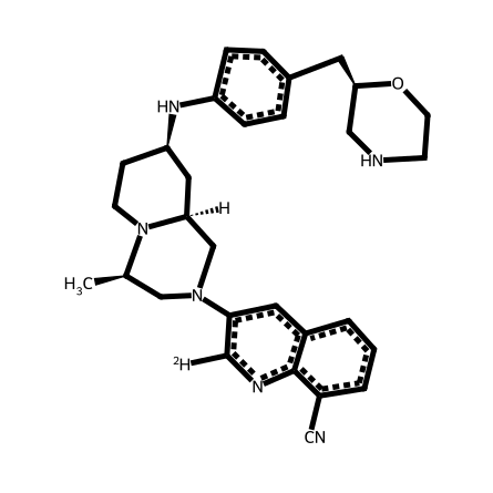 [2H]c1nc2c(C#N)cccc2cc1N1C[C@@H]2C[C@H](Nc3ccc(C[C@@H]4CNCCO4)cc3)CCN2[C@H](C)C1